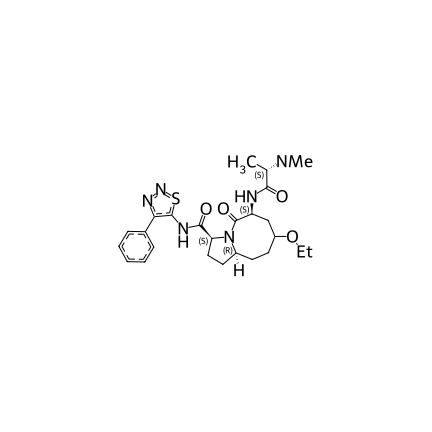 CCOC1CC[C@H]2CC[C@@H](C(=O)Nc3snnc3-c3ccccc3)N2C(=O)[C@@H](NC(=O)[C@H](C)NC)C1